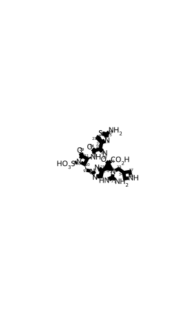 N=C(N)N(Cc1cnn(C[C@H]2[C@H](NC(=O)C(=NOC3(C(=O)O)CC3)c3csc(N)n3)C(=O)N2S(=O)(=O)O)n1)CC1CNC1